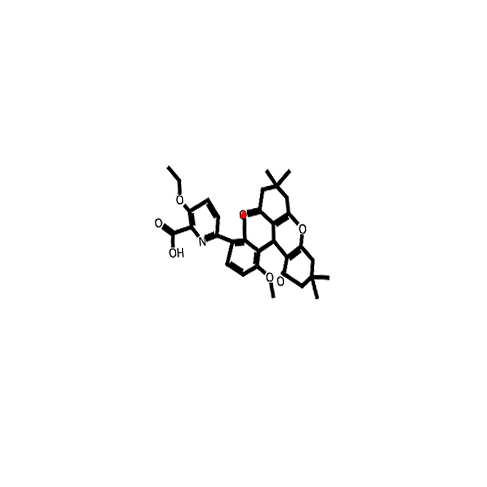 CCOc1ccc(-c2ccc(OC)c(C3C4=C(CC(C)(C)CC4=O)OC4=C3C(=O)CC(C)(C)C4)c2C)nc1C(=O)O